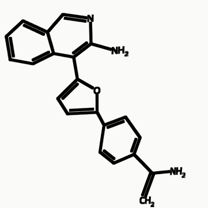 C=C(N)c1ccc(-c2ccc(-c3c(N)ncc4ccccc34)o2)cc1